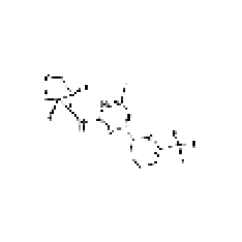 FC(F)(F)c1cccc(-c2nc(Cl)nc(N[C@H]3[C@@H]4COC[C@@H]43)n2)n1